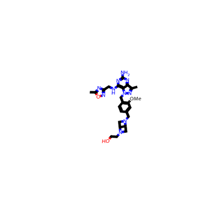 COc1cc(CN2CC3C2CN3CCO)ccc1Cn1nc(C)c2nc(N)nc(NCc3noc(C)n3)c21